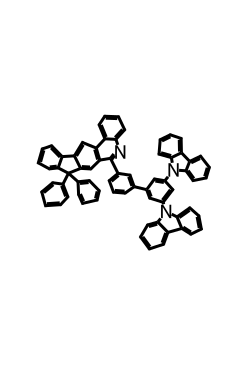 c1ccc(C2(c3ccccc3)c3ccccc3-c3cc4c(cc32)c(-c2cccc(-c3cc(-n5c6ccccc6c6ccccc65)cc(-n5c6ccccc6c6ccccc65)c3)c2)nc2ccccc24)cc1